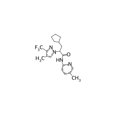 Cc1ccc(NC(=O)C(CC2CCCC2)n2cc(C)c(C(F)(F)F)n2)nc1